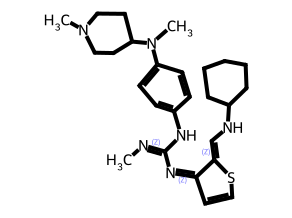 C\N=C(/N=C1/C=CS/C1=C\NC1CCCCC1)Nc1ccc(N(C)C2CCN(C)CC2)cc1